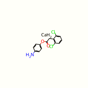 Nc1ccc(OC(=O)Cc2c(Cl)cccc2Cl)cc1.[CaH2]